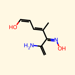 C=C(N)C(=N\O)/C(C)=C/C=C\O